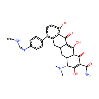 CN(C)[C@H]1C(O)=C(C(N)=O)C(=O)C2C(O)=C3C(=O)c4c(O)ccc(-c5ccc(/N=C\NC(C)(C)C)cc5)c4CC3CC21